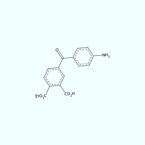 CCOC(=O)c1ccc(C(=O)c2ccc(N)cc2)cc1C(=O)O